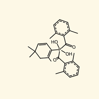 CC1=C(P(O)(O)(C(=O)c2c(C)cccc2C)C(=O)c2c(C)cccc2C)C=CC(C)(C)C1